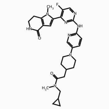 CN(CC1CC1)C(=O)CC1CCN(c2ccc(Nc3ncc(F)c(-c4cc5c(n4C)CCNC5=O)n3)nc2)CC1